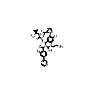 CC(C)(C)CCNC(=N)N(C(=O)c1ccc(-c2cnccn2)cc1F)[C@H](COC(=O)NC1(C(F)(F)F)CC1)c1ccc(Cl)c(-n2ncnc2C(F)F)c1